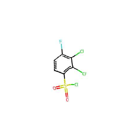 O=S(=O)(Cl)c1ccc(F)c(Cl)c1Cl